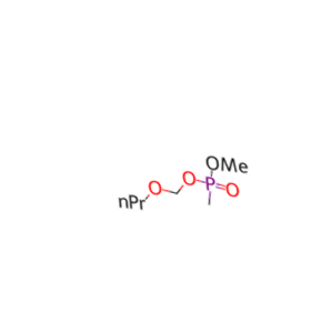 CCCOCOP(C)(=O)OC